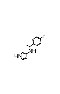 CC(Nc1cc[nH]c1)c1ccc(F)cc1